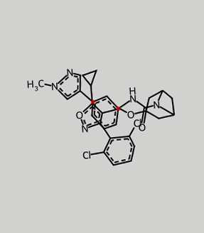 Cn1cc(-c2cccc(NC(=O)N3C4CC(OCc5c(-c6c(Cl)cccc6Cl)noc5C5CC5)CC3C4)c2)cn1